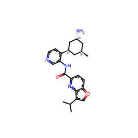 CC(C)c1coc2ccc(C(=O)Nc3cnccc3[C@@H]3C[C@H](C)C[C@@H](N)C3)nc12